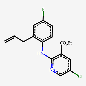 C=CCc1cc(F)ccc1Nc1ncc(Cl)cc1C(=O)OCC